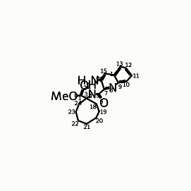 COC(=O)C1(NC(=O)c2nc3ccccc3cc2N)CCCCCCC1